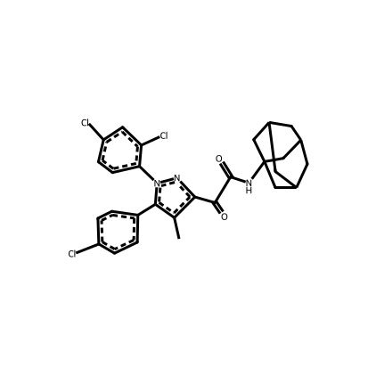 Cc1c(C(=O)C(=O)NC23CC4CC(CC(C4)C2)C3)nn(-c2ccc(Cl)cc2Cl)c1-c1ccc(Cl)cc1